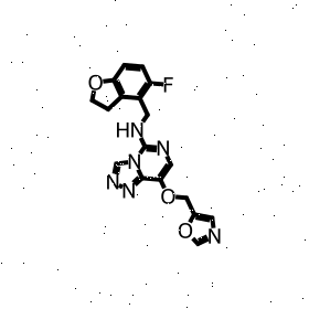 Fc1ccc2c(c1CNc1ncc(OCc3cnco3)c3nncn13)CCO2